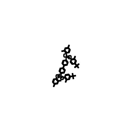 Cc1ccc(OP(Oc2ccc(C(C)(C)C)cc2C)c2ccc(-c3ccc(P(Oc4ccc(C)cc4C)Oc4ccc(C(C)(C)C)cc4C)cc3)cc2)c(C)c1